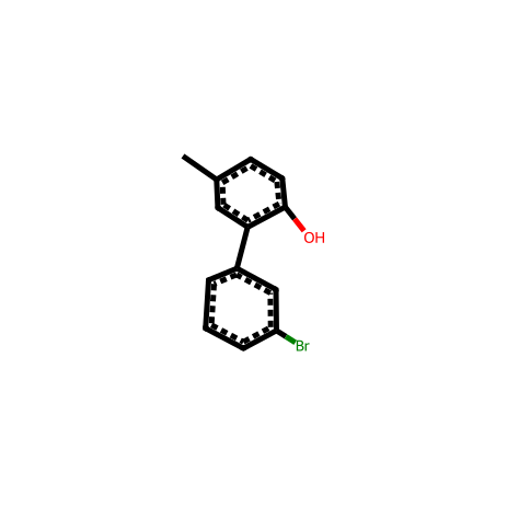 Cc1ccc(O)c(-c2cccc(Br)c2)c1